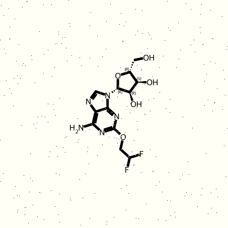 Nc1nc(OCC(F)F)nc2c1ncn2[C@@H]1O[C@H](CO)[C@@H](O)[C@H]1O